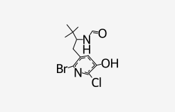 CC(C)(C)C(Cc1cc(O)c(Cl)nc1Br)NC=O